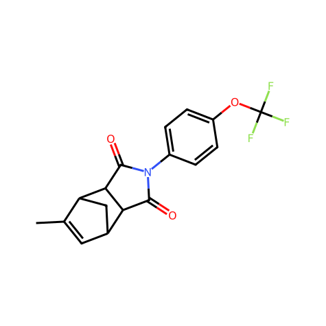 CC1=CC2CC1C1C(=O)N(c3ccc(OC(F)(F)F)cc3)C(=O)C21